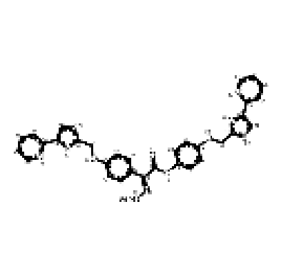 CON=C(C(=O)Oc1ccc(OCc2nc(-c3ccccn3)cs2)cc1)c1ccc(OCc2nc(-c3ccccn3)cs2)cc1